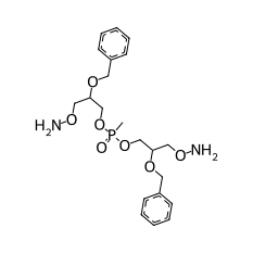 CP(=O)(OCC(CON)OCc1ccccc1)OCC(CON)OCc1ccccc1